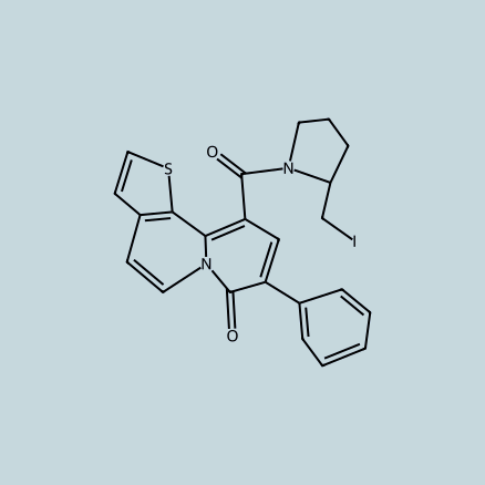 O=C(c1cc(-c2ccccc2)c(=O)n2ccc3ccsc3c12)N1CCCC1CI